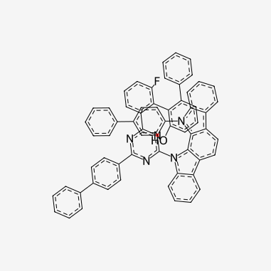 Oc1cccc(-c2ccccc2)c1-c1c(F)cccc1-c1nc(-c2ccc(-c3ccccc3)cc2)nc(-n2c3ccccc3c3ccc4c5ccccc5n(-c5ccc(-c6ccccc6)cc5)c4c32)n1